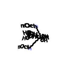 CCCCCCCC/C=C\CCCCCCCCC(O)(CCCCCCCC/C=C\CCCCCCCC)C(CO)(CO)CO.OP(O)OP(O)O